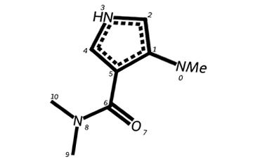 CNc1c[nH]cc1C(=O)N(C)C